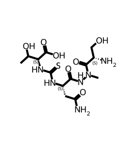 CC(O)[C@H](NC(=S)N[C@@H](CC(N)=O)C(=O)NN(C)C(=O)[C@@H](N)CO)C(=O)O